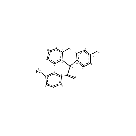 C=C(c1cc(C#N)ccn1)N(c1ccc(C)cc1)c1ccccc1C